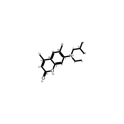 CCN(CC(C)C)c1cc2oc(=O)cc(C)c2cc1C